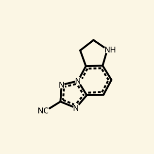 N#Cc1nc2ccc3c(n2n1)CCN3